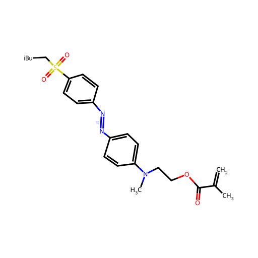 C=C(C)C(=O)OCCN(C)c1ccc(/N=N/c2ccc(S(=O)(=O)CC(C)CC)cc2)cc1